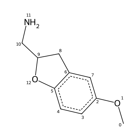 COc1ccc2c(c1)CC(CN)O2